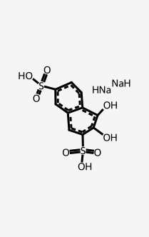 O=S(=O)(O)c1ccc2c(O)c(O)c(S(=O)(=O)O)cc2c1.[NaH].[NaH]